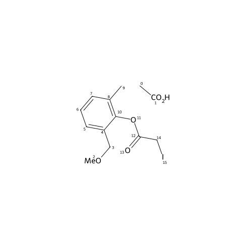 CC(=O)O.COCc1cccc(C)c1OC(=O)CI